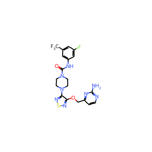 Nc1nccc(COc2nsnc2N2CCN(C(=O)Nc3cc(F)cc(C(F)(F)F)c3)CC2)n1